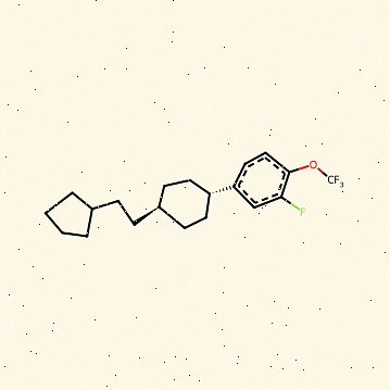 Fc1cc([C@H]2CC[C@H](CCC3CCCC3)CC2)ccc1OC(F)(F)F